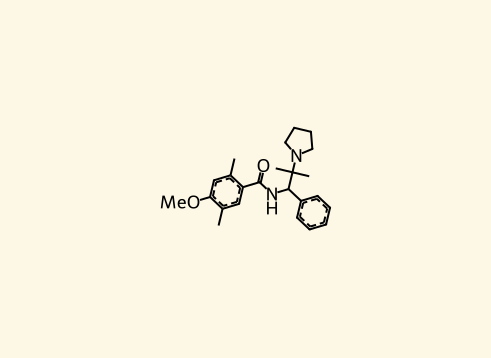 COc1cc(C)c(C(=O)NC(c2ccccc2)C(C)(C)N2CCCC2)cc1C